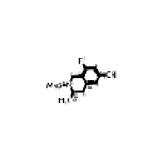 CSN1Cc2c(F)cc(C#N)cc2CC1C